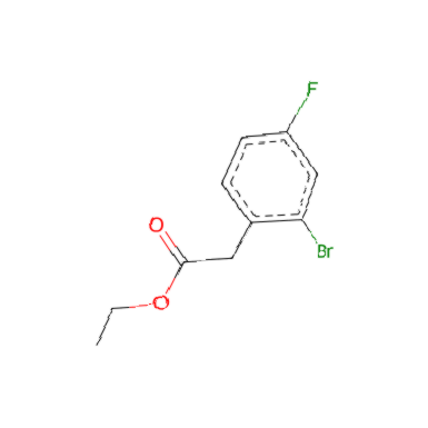 CCOC(=O)Cc1ccc(F)cc1Br